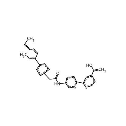 C=C(O)c1ccnc(-c2ccc(NC(=O)Cc3ccc(C(/C=C\C=C/C)=C/C)cc3)cn2)c1